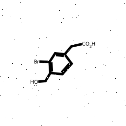 O=C(O)Cc1ccc(CO)c(Br)c1